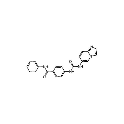 O=C(Nc1ccc(C(=O)Nc2ccccc2)cc1)Nc1ccc2nccn2c1